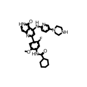 COc1cc(-c2cc(Nc3ccc(N4CCNCC4)cn3)c3c(=O)[nH]ccc3n2)c(F)cc1NC(=O)C1CCCCC1